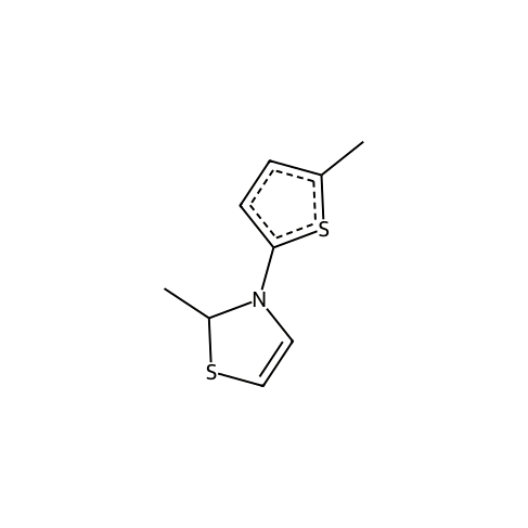 Cc1ccc(N2C=CSC2C)s1